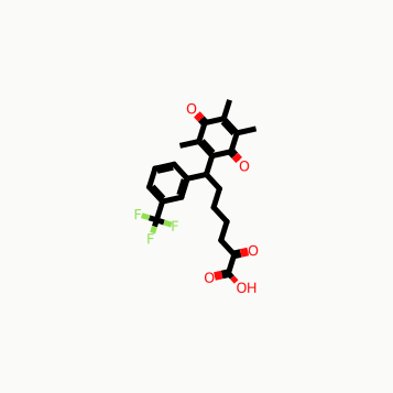 CC1=C(C)C(=O)C(C(CCCCC(=O)C(=O)O)c2cccc(C(F)(F)F)c2)=C(C)C1=O